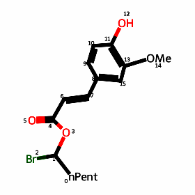 CCCCCC(Br)OC(=O)C=Cc1ccc(O)c(OC)c1